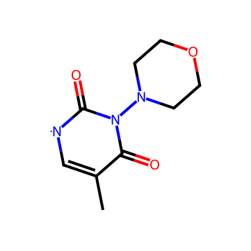 CC1=C[N]C(=O)N(N2CCOCC2)C1=O